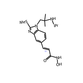 CSc1nc2cc(/C=C/C(=O)NO)ccc2n1CC(C)(C)NC(C)C